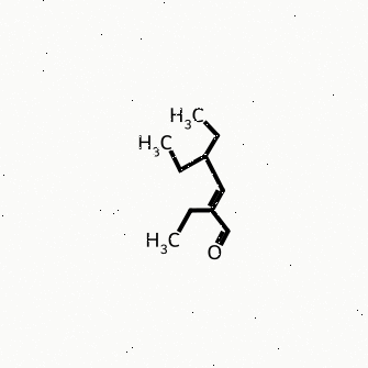 CC/C(C=O)=C\C(CC)CC